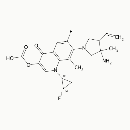 C=CC1CN(c2c(F)cc3c(=O)c(OC(=O)O)cn([C@@H]4C[C@@H]4F)c3c2C)CC1(C)N